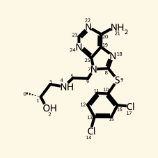 C[C@@H](O)CNCCn1c(Sc2ccc(Cl)cc2Cl)nc2c(N)ncnc21